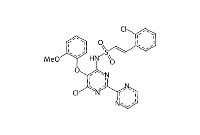 COc1ccccc1Oc1c(Cl)nc(-c2ncccn2)nc1NS(=O)(=O)C=Cc1ccccc1Cl